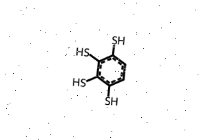 Sc1ccc(S)c(S)c1S